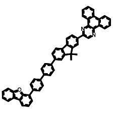 CC1(C)c2cc(-c3ccc(-c4ccc(-c5cccc6c5oc5ccccc56)cc4)cc3)ccc2-c2ccc(-c3cnc4c5ccccc5c5ccccc5c4n3)cc21